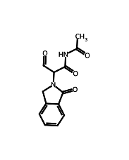 CC(=O)NC(=O)C(C=O)N1Cc2ccccc2C1=O